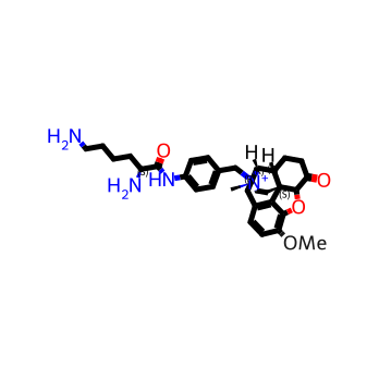 COc1ccc2c3c1OC1C(=O)CC[C@H]4[C@@H](C2)[N@@+](C)(Cc2ccc(NC(=O)[C@@H](N)CCCCN)cc2)CC[C@]314